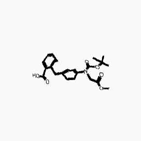 COC(=O)CN(C(=O)OC(C)(C)C)c1ccc(Cc2ccccc2C(=O)O)cc1